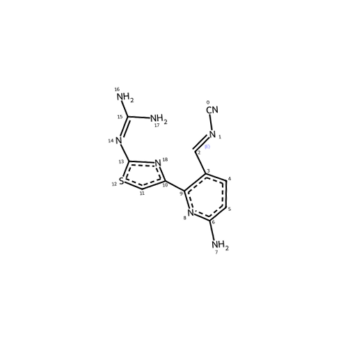 N#C/N=C/c1ccc(N)nc1-c1csc(N=C(N)N)n1